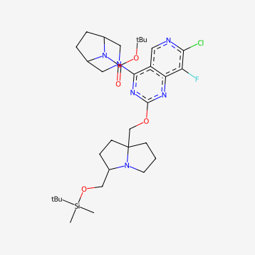 CC(C)(C)OC(=O)N1C2CCC1CN(c1nc(OCC34CCCN3C(CO[Si](C)(C)C(C)(C)C)CC4)nc3c(F)c(Cl)ncc13)C2